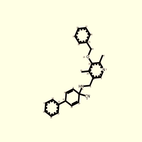 Cc1ncc(CNC2(C#N)C=CC(c3ccccc3)C=C2)c(C)c1OCc1ccccc1